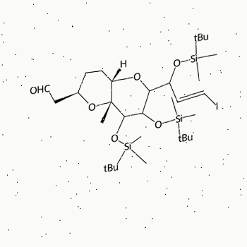 CC(C)(C)[Si](C)(C)OC(/C=C/I)C1O[C@H]2CC[C@H](CC=O)O[C@@]2(C)C(O[Si](C)(C)C(C)(C)C)C1O[Si](C)(C)C(C)(C)C